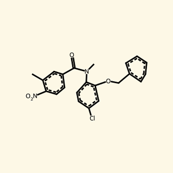 Cc1cc(C(=O)N(C)c2ccc(Cl)cc2OCc2ccccc2)ccc1[N+](=O)[O-]